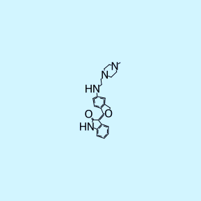 CN1CCN(CCNc2ccc3c(c2)COC3=C2C(=O)Nc3ccccc32)CC1